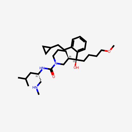 CNC[C@H](CC(C)C)NC(=O)N1CCC[C@@H]([C@@](O)(CCCCOC)c2ccccc2CCC2CC2)C1